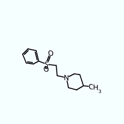 CC1CCN(CCS(=O)(=O)c2ccccc2)CC1